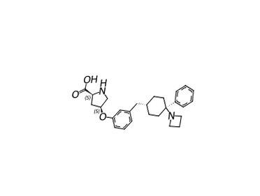 O=C(O)[C@@H]1C[C@H](Oc2cccc(C[C@H]3CC[C@](c4ccccc4)(N4CCC4)CC3)c2)CN1